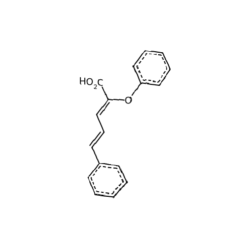 O=C(O)C(=CC=Cc1ccccc1)Oc1ccccc1